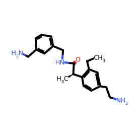 CCc1cc(CCN)ccc1[C@@H](C)C(=O)NCc1cccc(CN)c1